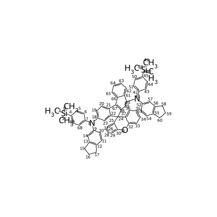 C[Si](C)(C)c1ccc(N(c2ccc3c(c2)CCC3)c2ccc3c(c2)C2(c4ccccc4Oc4ccccc42)c2cc(N(c4ccc([Si](C)(C)C)cc4)c4ccc5c(c4)CCC5)c4ccccc4c2-3)cc1